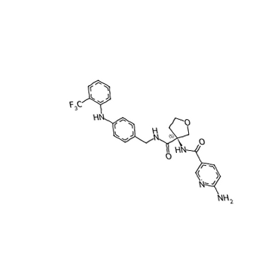 Nc1ccc(C(=O)N[C@@]2(C(=O)NCc3ccc(Nc4ccccc4C(F)(F)F)cc3)CCOC2)cn1